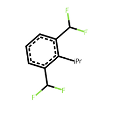 CC(C)c1c(C(F)F)cccc1C(F)F